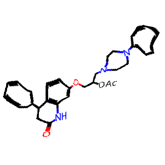 CC(=O)OC(COc1ccc2c(c1)NC(=O)CC2c1ccccc1)CN1CCN(c2ccccc2)CC1